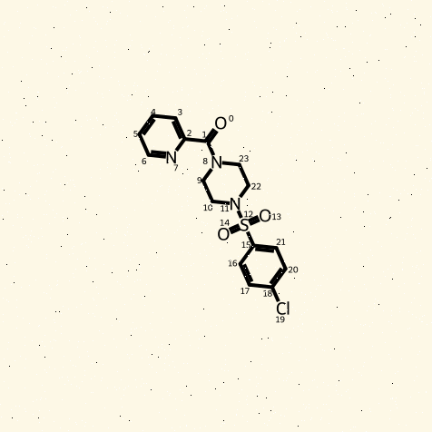 O=C(c1ccccn1)N1CCN(S(=O)(=O)c2ccc(Cl)cc2)CC1